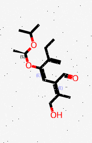 C=C(CC)/C(=C\C(C=O)=C(\C)CO)O[C@@H](C)OC(C)C